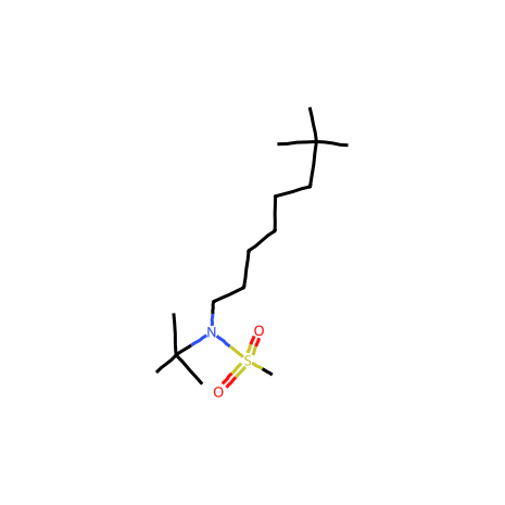 CC(C)(C)CCCCCCN(C(C)(C)C)S(C)(=O)=O